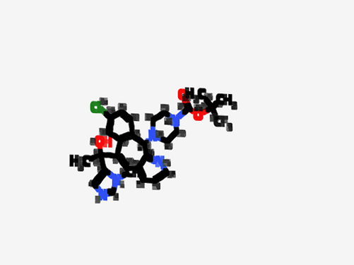 Cn1cncc1[C@](C)(O)C1=Cc2cccnc2[C@@H](N2CCN(C(=O)OC(C)(C)C(F)(F)F)CC2)c2ccc(Cl)cc21